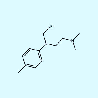 Cc1ccc(N(CCN(C)C)CC(C)C)cc1